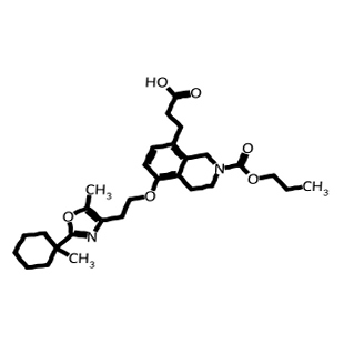 CCCOC(=O)N1CCc2c(OCCc3nc(C4(C)CCCCC4)oc3C)ccc(CCC(=O)O)c2C1